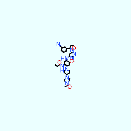 C=CC(=O)Nc1cc(Nc2cc(N3OCCC3c3cccc(C#N)c3)ncn2)c(OC)cc1N1CCC(N2CCN(C(C)=O)CC2)CC1